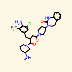 CN(C)[C@H]1CCCN(C(=O)C(CC(=O)N2CCC(N3CCc4ccccc4NC3=O)CC2)Cc2cc(Cl)c(N)c(C(F)(F)F)c2)C1